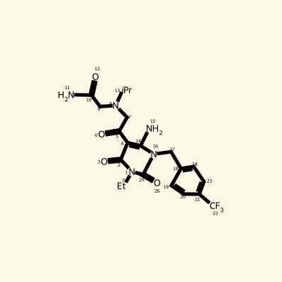 CCn1c(=O)c(C(=O)CN(CC(N)=O)C(C)C)c(N)n(Cc2ccc(C(F)(F)F)cc2)c1=O